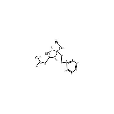 CCO[Si](CCc1ccccc1)(OCC)OCCC(C)Cl